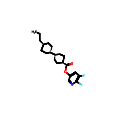 CCC[C@H]1CC[C@H]([C@H]2CC[C@H](C(=O)Oc3cnc(F)c(F)c3)CC2)CC1